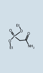 CCOP(=O)(CC(N)=O)OCC